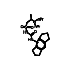 CCCN(CCC)C(C)CS(=O)(=O)NC(=O)Nc1c2c(cc3c1CCC3)CCC2